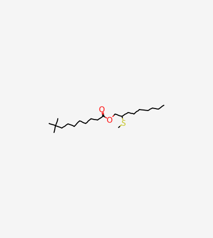 CCCCCCCC(COC(=O)CCCCCCCC(C)(C)C)SC